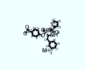 N.O=[N+]([O-])c1ccc(OP(=O)(O)C(Cc2ccccc2)NS(=O)(=O)c2cccs2)cc1